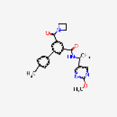 COc1ncc([C@@H](C)NC(=O)c2cc(C(=O)N3CCC3)cc(-c3ccc(C)cc3)c2)cn1